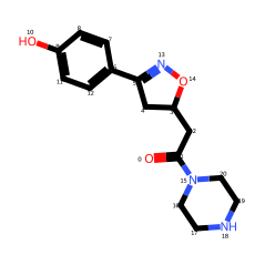 O=C(CC1CC(c2ccc(O)cc2)=NO1)N1CCNCC1